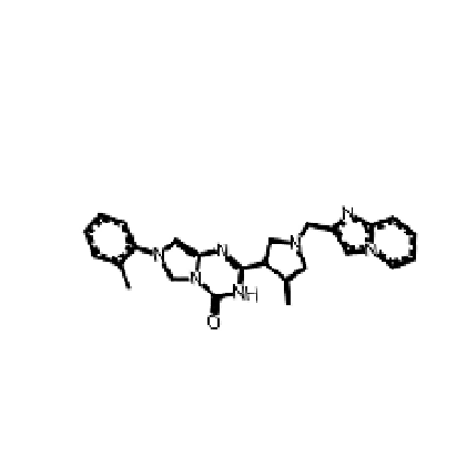 Cc1ccccc1N1C=C2N=C(C3CN(Cc4cn5ccccc5n4)CC3C)NC(=O)N2C1